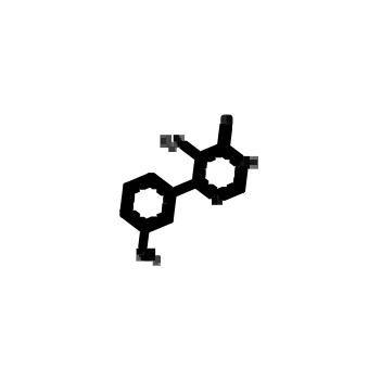 Nc1cccc(-c2nc[nH]c(=O)c2N)c1